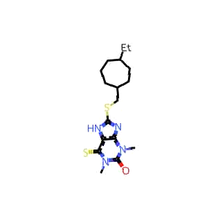 CCC1CCCC(CSc2nc3c([nH]2)c(=S)n(C)c(=O)n3C)CC1